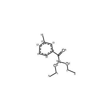 CCON(OCC)C(=O)c1cccc(C)c1